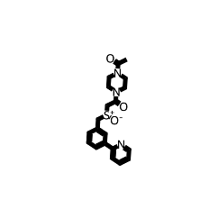 CC(=O)N1CCN(C(=O)C[S+]([O-])Cc2cccc(-c3ccccn3)c2)CC1